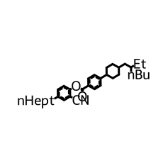 CCCCCCCc1ccc(OC(=O)c2ccc(C3CCC(CC(CC)CCCC)CC3)cc2)c(C#N)c1